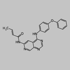 CC=CC(=O)Nc1cc2c(Nc3ccc(Oc4ccccc4)cc3)ncnc2cn1